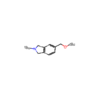 CC(C)(C)OCc1ccc2c(c1)CN(C(C)(C)C)C2